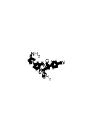 C=N/N=C1/c2cc(-c3ccc(C#N)cc3)c(Cl)n2Cc2cc(N3CC[C@@H](CN)C3)ccc2N1C